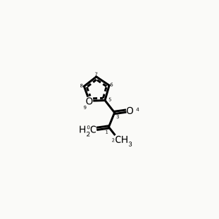 C=C(C)C(=O)c1ccco1